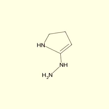 NNC1=CCCN1